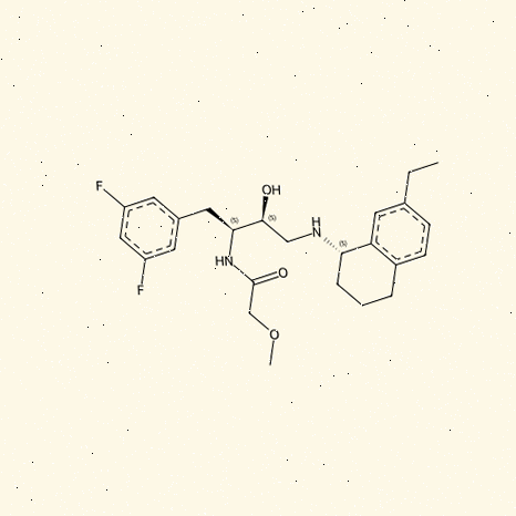 CCc1ccc2c(c1)[C@@H](NC[C@H](O)[C@H](Cc1cc(F)cc(F)c1)NC(=O)COC)CCC2